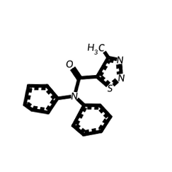 Cc1nnsc1C(=O)N(c1ccccc1)c1ccccc1